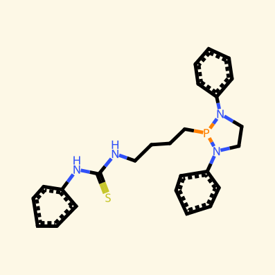 S=C(NCCCCP1N(c2ccccc2)CCN1c1ccccc1)Nc1ccccc1